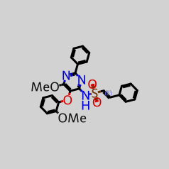 COc1ccccc1Oc1c(NS(=O)(=O)/C=C/c2ccccc2)nc(-c2ccccc2)nc1OC